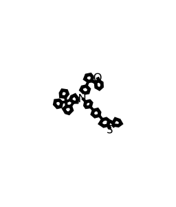 c1ccc(C2(c3ccccc3)c3ccccc3-c3cc(N(c4ccc(-c5ccc(-c6ccc7sc8ccccc8c7c6)cc5)cc4)c4ccc(-c5cccc6oc7ccccc7c56)cc4)ccc32)cc1